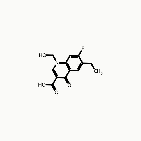 CCc1cc2c(=O)c(C(=O)O)cn(CO)c2cc1F